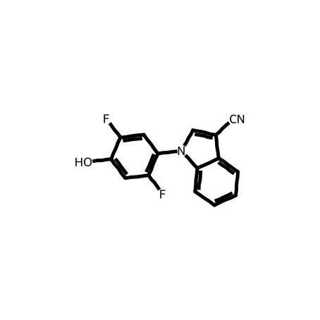 N#Cc1cn(-c2cc(F)c(O)cc2F)c2ccccc12